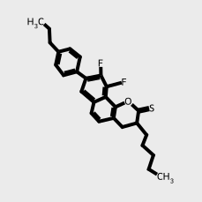 CCCCCC1Cc2ccc3cc(-c4ccc(CCC)cc4)c(F)c(F)c3c2OC1=S